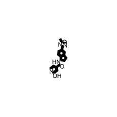 Cc1nc(-c2ccc3c(c2)CCC3NC(=O)c2ccnc(O)c2)no1